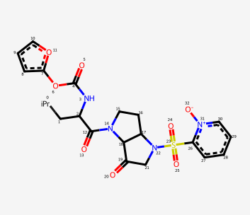 CC(C)CC(NC(=O)Oc1ccco1)C(=O)N1CCC2C1C(=O)CN2S(=O)(=O)c1cccc[n+]1[O-]